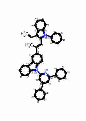 C=Cc1c(/C=C(\C)c2ccc3c(c2)c2ccccc2n3-c2cc(-c3ccccc3)cc(-c3ccccc3)n2)n(-c2ccccc2)c2ccccc12